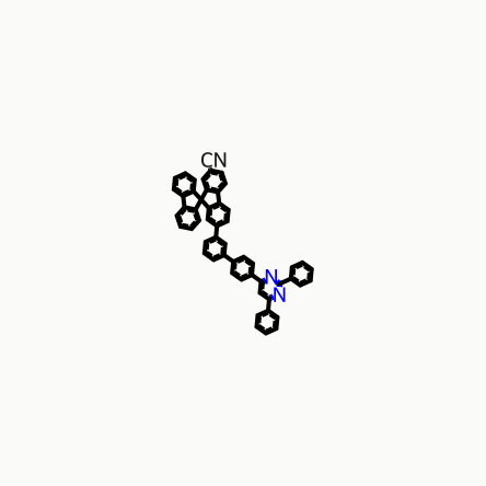 N#Cc1ccc2c(c1)C1(c3ccccc3-c3ccccc31)c1cc(-c3cccc(-c4ccc(-c5cc(-c6ccccc6)nc(-c6ccccc6)n5)cc4)c3)ccc1-2